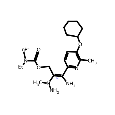 CCCN(CC)C(=O)OC/C(=C(/N)c1ccc(OC2CCCCC2)c(C)n1)N(C)N